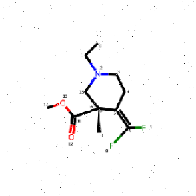 CCN1CCC(=C(F)F)[C@](C)(C(=O)OC)C1